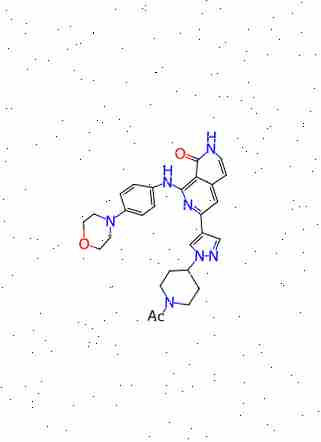 CC(=O)N1CCC(n2cc(-c3cc4cc[nH]c(=O)c4c(Nc4ccc(N5CCOCC5)cc4)n3)cn2)CC1